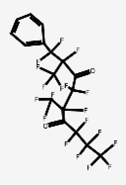 O=C(C(F)(F)C(F)(F)C(F)(F)F)C(F)(C(F)(F)F)C(F)(F)C(=O)C(F)(C(F)(F)F)C(F)(F)c1c[c]ccc1